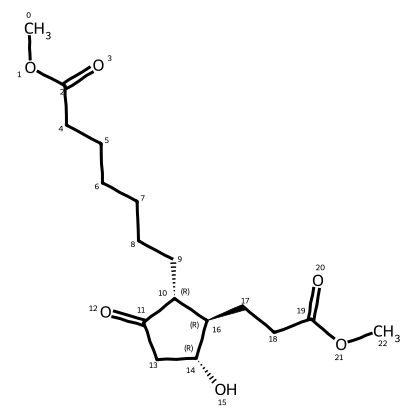 COC(=O)CCCCCC[C@H]1C(=O)C[C@@H](O)[C@@H]1CCC(=O)OC